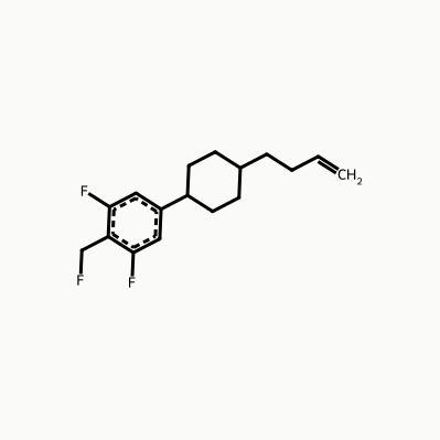 C=CCCC1CCC(c2cc(F)c(CF)c(F)c2)CC1